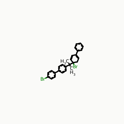 CC(C)(c1ccc(-c2ccc(Br)cc2)cc1)C1(Br)C=CC(c2ccccc2)=CC1